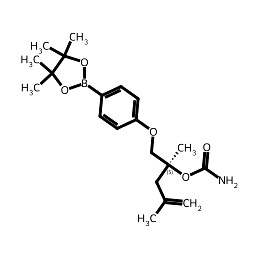 C=C(C)C[C@@](C)(COc1ccc(B2OC(C)(C)C(C)(C)O2)cc1)OC(N)=O